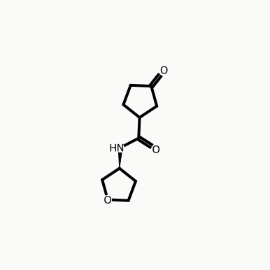 O=C1CCC(C(=O)N[C@H]2CCOC2)C1